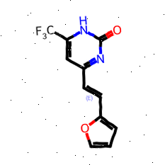 O=c1nc(/C=C/c2ccco2)cc(C(F)(F)F)[nH]1